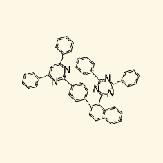 c1ccc(-c2cc(-c3ccccc3)nc(-c3ccc(-c4ccc5ccccc5c4-c4nc(-c5ccccc5)nc(-c5ccccc5)n4)cc3)n2)cc1